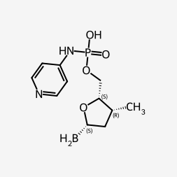 B[C@H]1C[C@@H](C)[C@@H](COP(=O)(O)Nc2ccncc2)O1